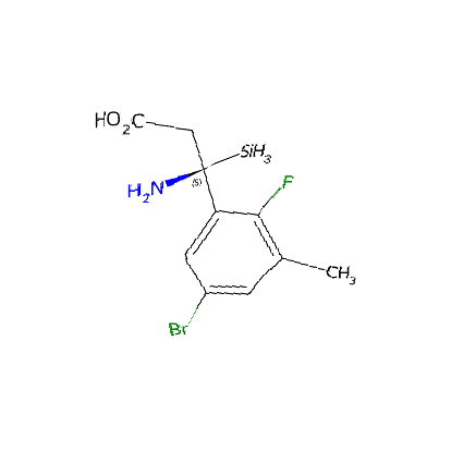 Cc1cc(Br)cc([C@@](N)([SiH3])CC(=O)O)c1F